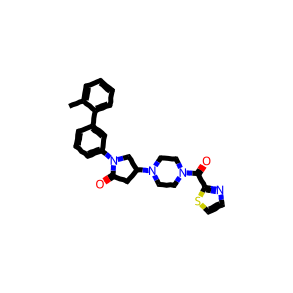 Cc1ccccc1-c1cccc(N2CC(N3CCN(C(=O)c4nccs4)CC3)CC2=O)c1